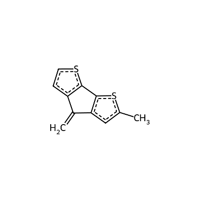 C=C1c2ccsc2-c2sc(C)cc21